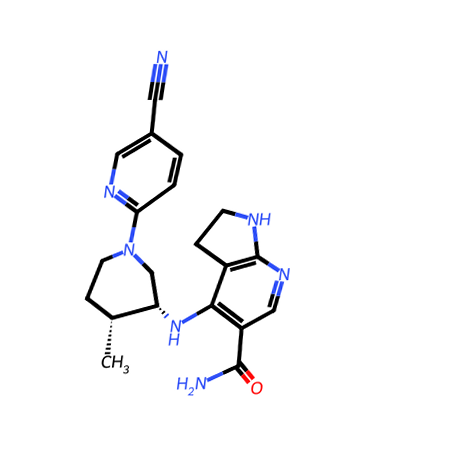 C[C@@H]1CCN(c2ccc(C#N)cn2)C[C@@H]1Nc1c(C(N)=O)cnc2c1CCN2